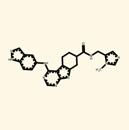 Cn1cncc1CNC(=O)C1CCc2c(sc3ncnc(Nc4ccc5[nH]ncc5c4)c23)C1